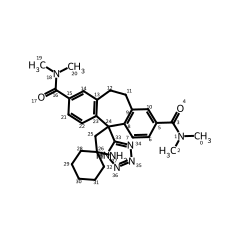 CN(C)C(=O)c1ccc2c(c1)CCc1cc(C(=O)N(C)C)ccc1C2(CC1(N)CCCCC1)c1nnn[nH]1